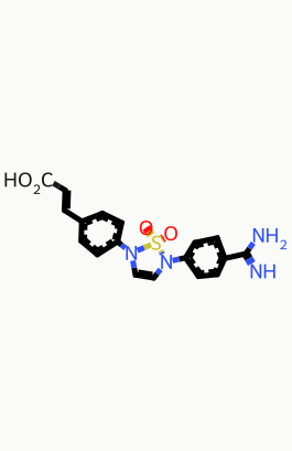 N=C(N)c1ccc(N2C=CN(c3ccc(C=CC(=O)O)cc3)S2(=O)=O)cc1